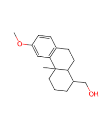 COc1ccc2c(c1)C1(C)CCCC(CO)C1CC2